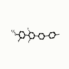 Cc1ccc(-c2ccc(-c3cc(F)c(-c4ccc(OC(F)(F)F)c(F)c4)c(F)c3)cc2)cc1